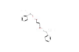 CC(=O)N[C@H](COC(=O)/C=C/C(=O)OC[C@@H](NC(C)=O)c1ccccc1)c1ccccc1